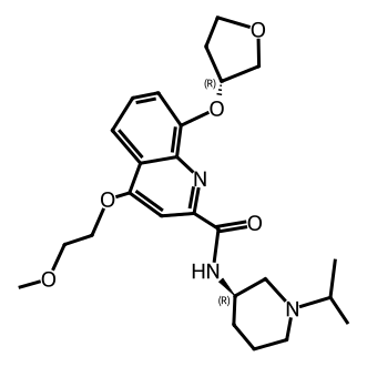 COCCOc1cc(C(=O)N[C@@H]2CCCN(C(C)C)C2)nc2c(O[C@@H]3CCOC3)cccc12